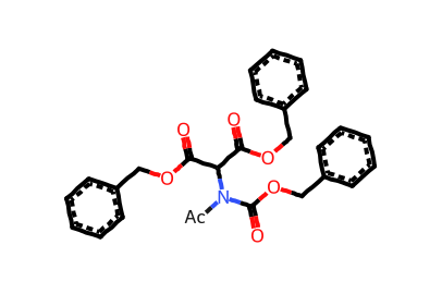 CC(=O)N(C(=O)OCc1ccccc1)C(C(=O)OCc1ccccc1)C(=O)OCc1ccccc1